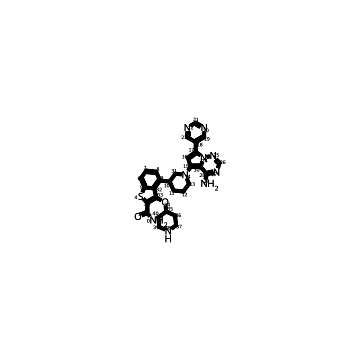 NC(=O)c1sc2cccc(C3CCCN(c4cc(-c5cncnc5)n5ncnc(N)c45)C3)c2c1OC1CCNCC1